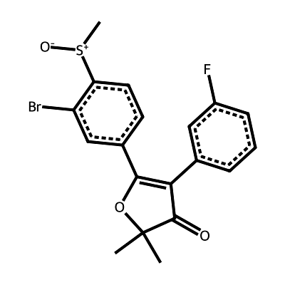 C[S+]([O-])c1ccc(C2=C(c3cccc(F)c3)C(=O)C(C)(C)O2)cc1Br